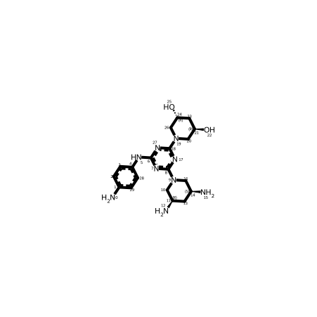 Nc1ccc(Nc2nc(N3C[C@H](N)C[C@H](N)C3)nc(N3C[C@H](O)C[C@@H](O)C3)n2)cc1